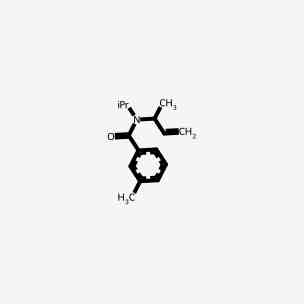 C=CC(C)N(C(=O)c1cccc(C)c1)C(C)C